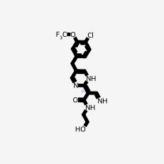 N=C/C(C(=O)NCCO)=C1/N=CC(Cc2ccc(Cl)c(OC(F)(F)F)c2)=CN1